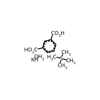 CS(C)(C)C.O.O=C(O)c1cccc(C(=O)O)c1.[KH]